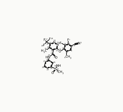 Cc1cc(C#N)c(F)c(F)c1Oc1nnc(C(F)(F)F)c(C)c1C(=O)Nc1cccc(S(C)(=N)=O)c1